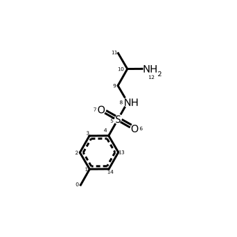 Cc1ccc(S(=O)(=O)NCC(C)N)cc1